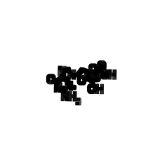 Cn1c(N)nc(=O)c2ncn([C@H]3C[C@H](OP(=O)(O)O)[C@@H](CO)O3)c21